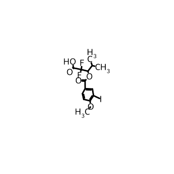 COc1ccc(C(=O)OC(C(C)C)C(F)(F)C(=O)O)cc1I